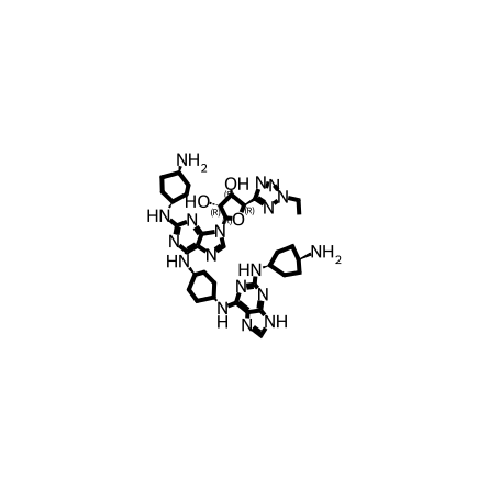 CCn1nnc([C@H]2O[C@@H](n3cnc4c(N[C@H]5CC[C@H](Nc6nc(N[C@H]7CC[C@H](N)CC7)nc7[nH]cnc67)CC5)nc(N[C@H]5CC[C@H](N)CC5)nc43)[C@H](O)[C@@H]2O)n1